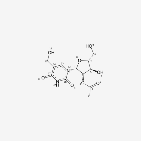 CC(=O)O[C@@H]1[C@H](O)[C@@H](CO)O[C@H]1n1cc(CO)c(=O)[nH]c1=O